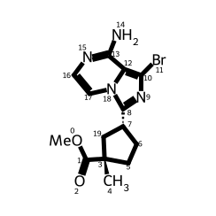 COC(=O)[C@@]1(C)CC[C@@H](c2nc(Br)c3c(N)nccn23)C1